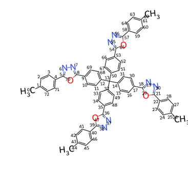 Cc1ccc(-c2nnc(-c3ccc(C(c4ccc(-c5nnc(-c6ccc(C)cc6)o5)cc4)(c4ccc(-c5nnc(-c6ccc(C)cc6)o5)cc4)c4ccc(-c5nnc(-c6ccc(C)cc6)o5)cc4)cc3)o2)cc1